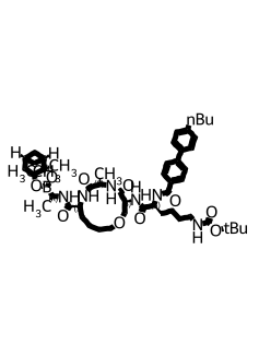 CCCCc1ccc(-c2ccc(C(=O)N[C@@H](CCCCNC(=O)OC(C)(C)C)C(=O)N[C@H]3COCCCC[C@@H](C(=O)N[C@@H](C)B4OC5C[C@@H]6C[C@@H](C6(C)C)[C@]5(C)O4)NC(=O)[C@H](C)NC3=O)cc2)cc1